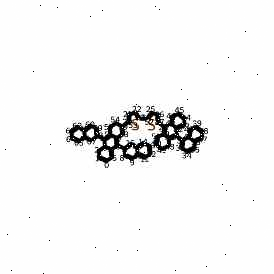 C1=CCC2C(=C1)C(c1ccc3ccccc3c1)=C1C=C(c3ccc(-c4ccc(-c5c6c(c(-c7cccc8ccccc78)c7ccccc57)CCC=C6)s4)s3)CCC1=C2C1=CC=C2C=CC=CC2C1